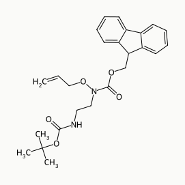 C=CCON(CCNC(=O)OC(C)(C)C)C(=O)OCC1c2ccccc2-c2ccccc21